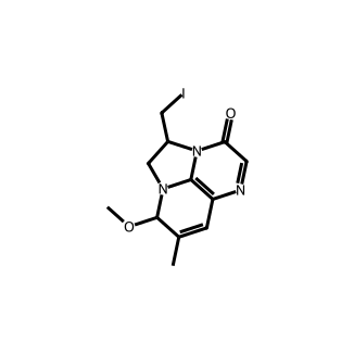 COC1C(C)=Cc2ncc(=O)n3c2N1CC3CI